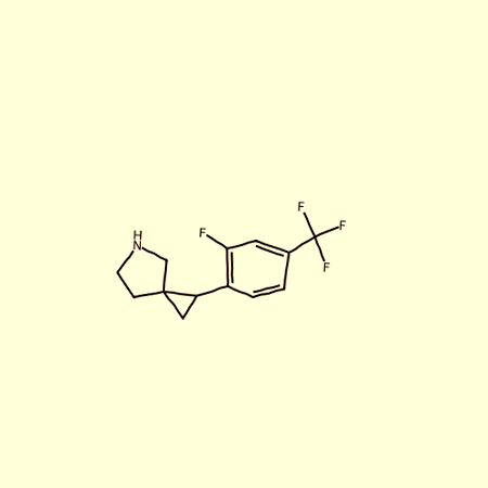 Fc1cc(C(F)(F)F)ccc1C1CC12CCNC2